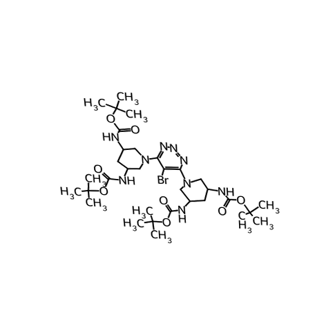 CC(C)(C)OC(=O)NC1CC(NC(=O)OC(C)(C)C)CN(c2nnnc(N3CC(NC(=O)OC(C)(C)C)CC(NC(=O)OC(C)(C)C)C3)c2Br)C1